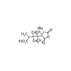 CCOC(=O)C(C)C(C)(C)C(C)(C)C1C(=O)OC(=O)[C@H]1C(C)(C)C